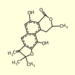 C=C1c2cc3cc(O)c4c(c3c(O)c2OC1(C)C)CC(C)OC4=O